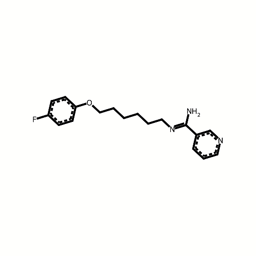 NC(=NCCCCCCOc1ccc(F)cc1)c1cccnc1